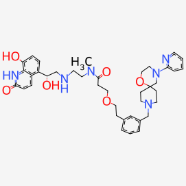 CN(CCNC[C@H](O)c1ccc(O)c2[nH]c(=O)ccc12)C(=O)CCOCCc1cccc(CN2CCC3(CC2)CN(c2ccccn2)CCO3)c1